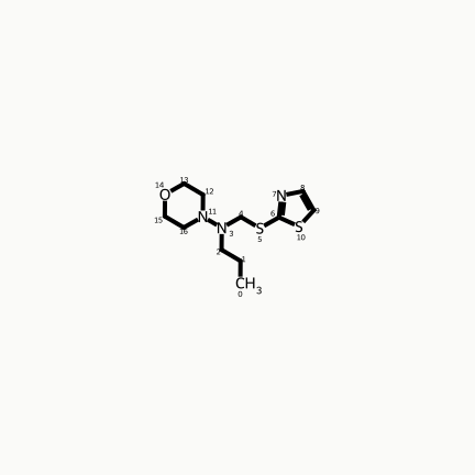 CCCN(CSc1nccs1)N1CCOCC1